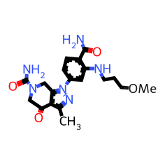 COCCCNc1cc(-n2nc(C)c3c2CN(C(N)=O)CC3=O)ccc1C(N)=O